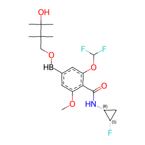 COc1cc(BOCC(C)(C)C(C)(C)O)cc(OC(F)F)c1C(=O)N[C@@H]1C[C@@H]1F